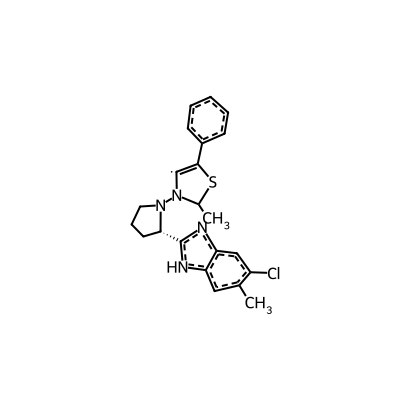 Cc1cc2[nH]c([C@@H]3CCCN3N3[C]=C(c4ccccc4)SC3C)nc2cc1Cl